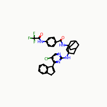 O=C(NC12CC3CC(C1)CC(Nc1ncc(Cl)c(C4=CCc5ccccc54)n1)(C3)C2)c1ccc(NC(=O)C(F)(F)F)cc1